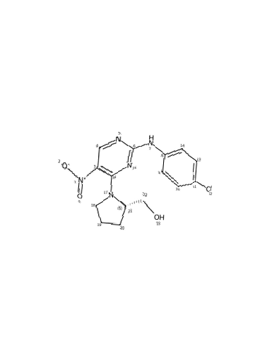 O=[N+]([O-])c1cnc(Nc2ccc(Cl)cc2)nc1N1CCC[C@H]1CO